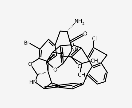 CC(C)C1NC(=O)[C@@H](N)Cc2cc(Br)c3c(c2)[C@]24c5ccc(cc5NC2O3)-c2cccc3c2C(=C(Cl)C3)c2oc(nc2Cl)-c2nc1oc24